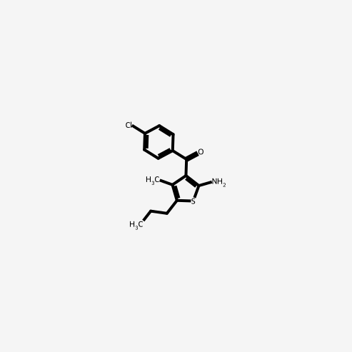 CCCc1sc(N)c(C(=O)c2ccc(Cl)cc2)c1C